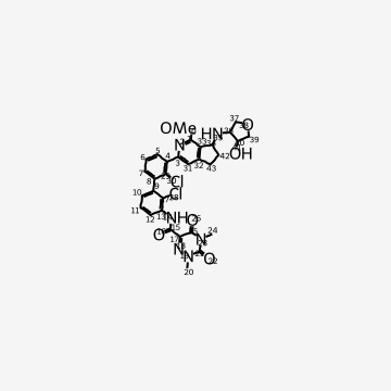 COc1nc(-c2cccc(-c3cccc(NC(=O)c4nn(C)c(=O)n(C)c4=O)c3Cl)c2Cl)cc2c1C(NC1COCC1O)CC2